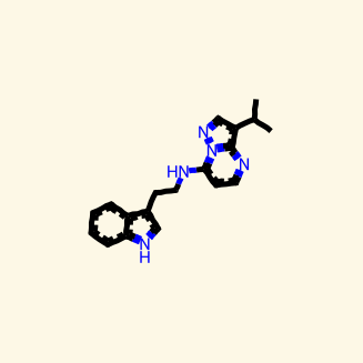 CC(C)c1cnn2c(NCCc3c[nH]c4ccccc34)ccnc12